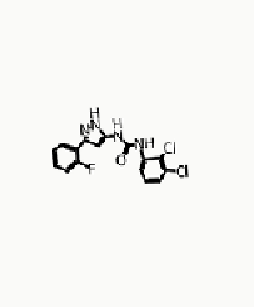 O=C(Nc1cc(-c2ccccc2F)n[nH]1)Nc1cccc(Cl)c1Cl